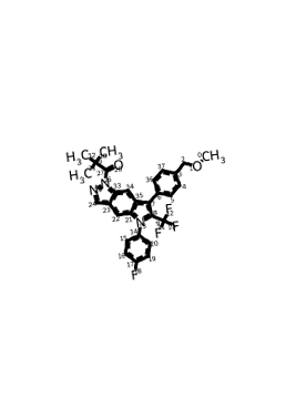 COCc1ccc(-c2c(C(F)(F)F)n(-c3ccc(F)cc3)c3cc4cnn(C(=O)C(C)(C)C)c4cc23)cc1